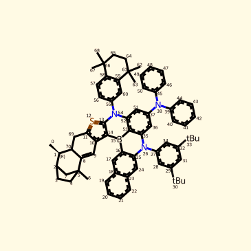 C[C@@H]1C2CCC(C)(C2)C2=Cc3c(sc4c3B3c5cc6ccccc6cc5N(c5cc(C(C)(C)C)cc(C(C)(C)C)c5)c5cc(N(c6ccccc6)c6ccccc6)cc(c53)N4c3ccc4c(c3)C(C)(C)CCC4(C)C)CC21